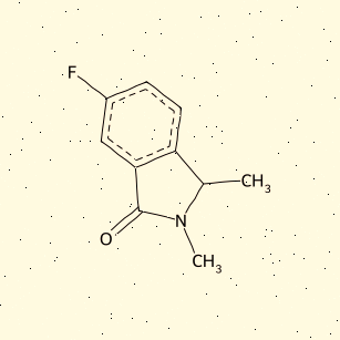 CC1c2ccc(F)cc2C(=O)N1C